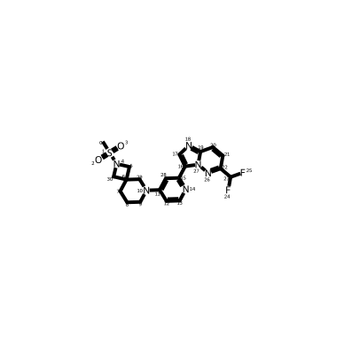 CS(=O)(=O)N1CC2(CCCN(c3ccnc(-c4cnc5ccc(C(F)F)nn45)c3)C2)C1